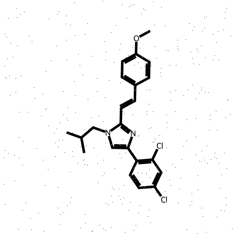 COc1ccc(C=Cc2nc(-c3ccc(Cl)cc3Cl)cn2CC(C)C)cc1